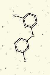 N#Cc1cccc(Oc2cccc(Cl)c2)c1